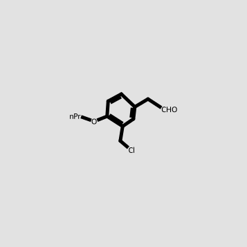 CCCOc1ccc(CC=O)cc1CCl